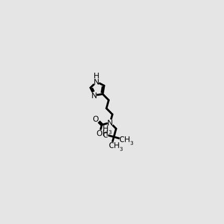 CC(C)(C)CN(CCCc1c[nH]cn1)C(=O)O